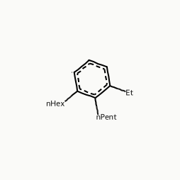 CCCCCCc1[c]ccc(CC)c1CCCCC